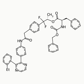 CCc1ccccc1-c1nccnc1-c1ccc(NC(=O)Cc2ccc(C(F)(F)[C@H](C)OC(=O)[C@@H](Cc3ccccc3)NC(=O)OCc3ccccc3)cc2)cc1